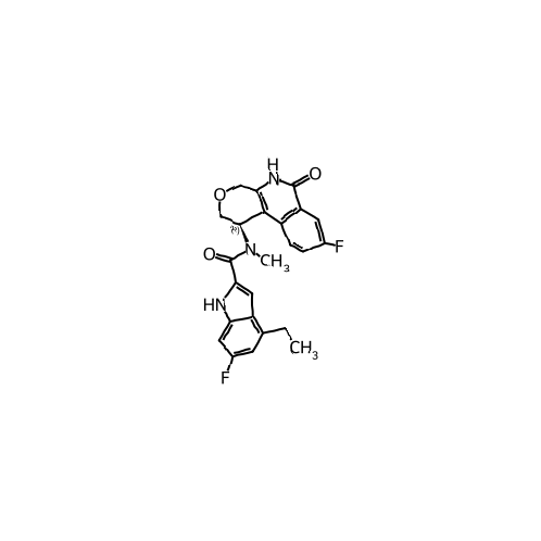 CCc1cc(F)cc2[nH]c(C(=O)N(C)[C@H]3COCc4[nH]c(=O)c5cc(F)ccc5c43)cc12